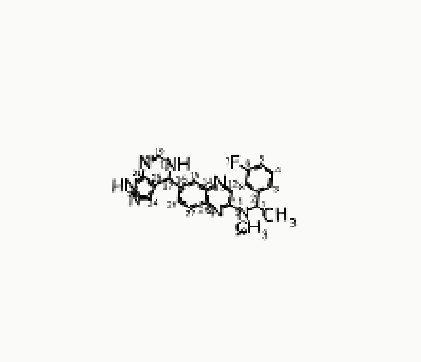 C[C@H](c1cccc(F)c1)N(C)c1cnc2cc(C3NC=Nc4[nH]ncc43)ccc2n1